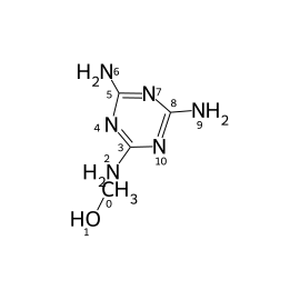 CO.Nc1nc(N)nc(N)n1